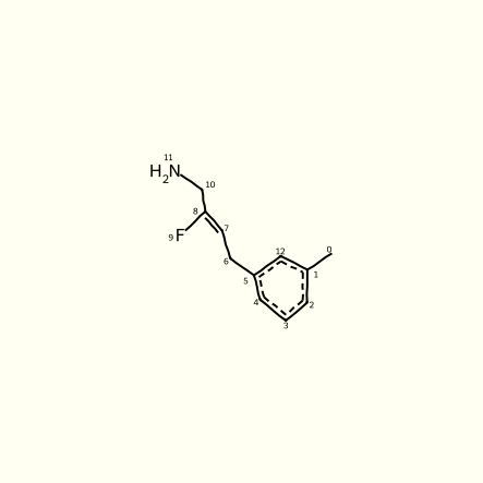 Cc1cccc(C/C=C(\F)CN)c1